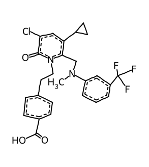 CN(Cc1c(C2CC2)cc(Cl)c(=O)n1CCc1ccc(C(=O)O)cc1)c1cccc(C(F)(F)F)c1